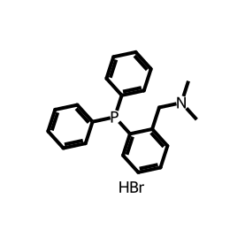 Br.CN(C)Cc1ccccc1P(c1ccccc1)c1ccccc1